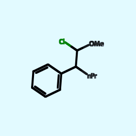 CCCC(c1ccccc1)C(Cl)OC